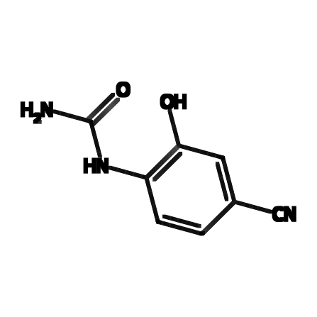 N#Cc1ccc(NC(N)=O)c(O)c1